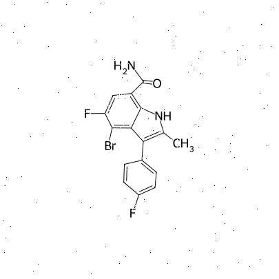 Cc1[nH]c2c(C(N)=O)cc(F)c(Br)c2c1-c1ccc(F)cc1